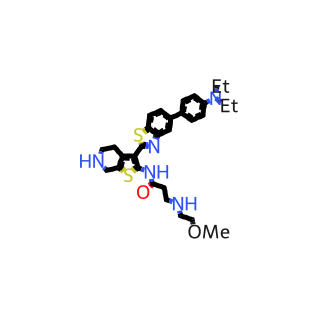 CCN(CC)c1ccc(-c2ccc3sc(-c4c(NC(=O)CCNCCOC)sc5c4CCNC5)nc3c2)cc1